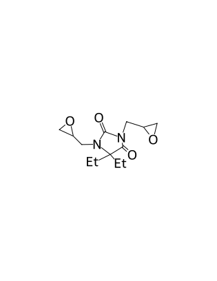 CCC1(CC)C(=O)N(CC2CO2)C(=O)N1CC1CO1